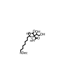 CCCCCCCCCCCCCCCCCC(=O)OC(C(=O)CCC)(C(=O)CCC)C(O)CO